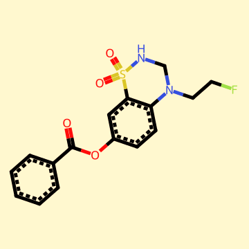 O=C(Oc1ccc2c(c1)S(=O)(=O)NCN2CCF)c1ccccc1